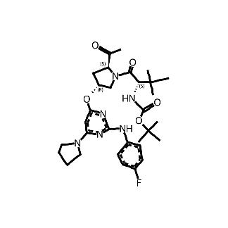 CC(=O)[C@@H]1C[C@@H](Oc2cc(N3CCCC3)nc(Nc3ccc(F)cc3)n2)CN1C(=O)[C@@H](NC(=O)OC(C)(C)C)C(C)(C)C